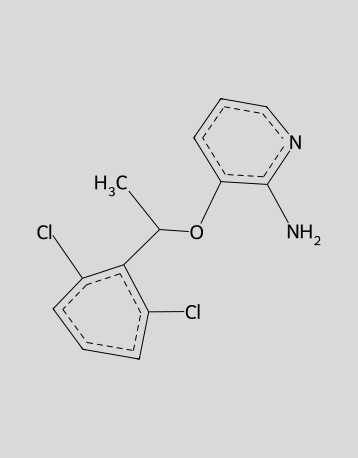 CC(Oc1cccnc1N)c1c(Cl)cccc1Cl